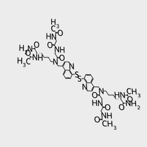 CC(=O)NCC(=O)NCC(=O)N(CCCC[C@H](NC(C)=O)C(N)=O)Cc1ccnc2c(SSc3cccc4c(CN(CCCC[C@H](NC(C)=O)C(N)=O)C(=O)CNC(=O)CNC(C)=O)ccnc34)cccc12